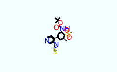 C[C@H]1C[C@@H](c2ccncc2N=C=S)C[C@@H](NC(=O)OC(C)(C)C)[C@H]1S(C)(=O)=O